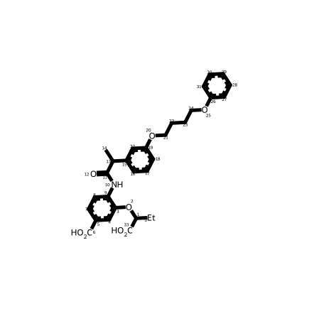 CCC(Oc1cc(C(=O)O)ccc1NC(=O)C(C)c1cccc(OCCCCOc2ccccc2)c1)C(=O)O